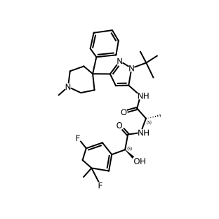 C[C@H](NC(=O)[C@@H](O)C1=CC(C)(F)CC(F)=C1)C(=O)Nc1cc(C2(c3ccccc3)CCN(C)CC2)nn1C(C)(C)C